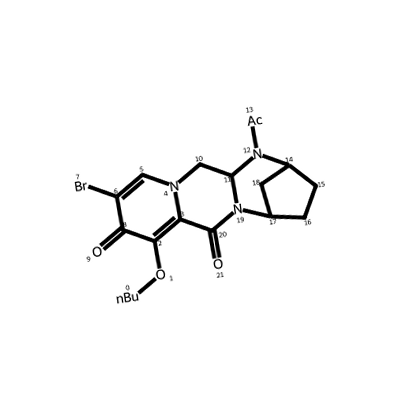 CCCCOc1c2n(cc(Br)c1=O)CC1N(C(C)=O)C3CCC(C3)N1C2=O